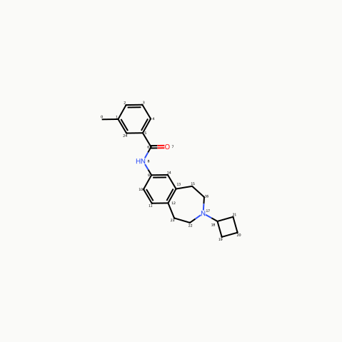 Cc1cccc(C(=O)Nc2ccc3c(c2)CCN(C2CCC2)CC3)c1